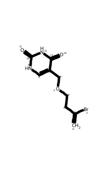 C=C(Br)CCOCc1c[nH]c(=O)[nH]c1=O